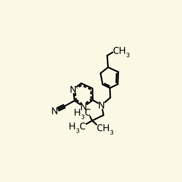 CCC1C=CC(CN(CC(C)(C)C)c2ccnc(C#N)n2)=CC1